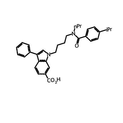 CCCN(CCCCn1cc(-c2ccccc2)c2ccc(C(=O)O)cc21)C(=O)c1ccc(C(C)C)cc1